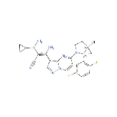 N#C/C(=C(/N)c1cnn2ccc(N3CC[C@H]4C[C@]43c3cc(F)ccc3F)nc12)N(N)C1CC1